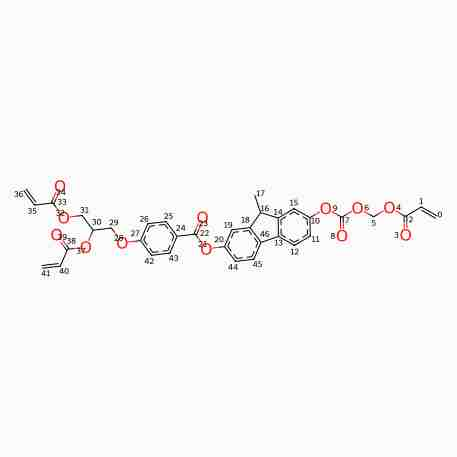 C=CC(=O)OCOC(=O)Oc1ccc2c(c1)C(C)c1cc(OC(=O)c3ccc(OCC(COC(=O)C=C)OC(=O)C=C)cc3)ccc1-2